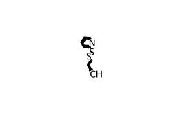 C#CCCSSc1ccccn1